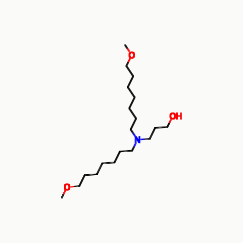 COCCCCCCCN(CCCO)CCCCCCCOC